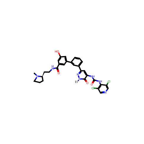 CCn1nc(-c2cccc(-c3cc(O)cc(C(=O)NCC[C@H]4CCCN4C)c3)c2)cc(NC(=O)Nc2c(Cl)cncc2Cl)c1=O